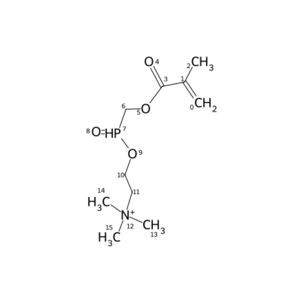 C=C(C)C(=O)OC[PH](=O)OCC[N+](C)(C)C